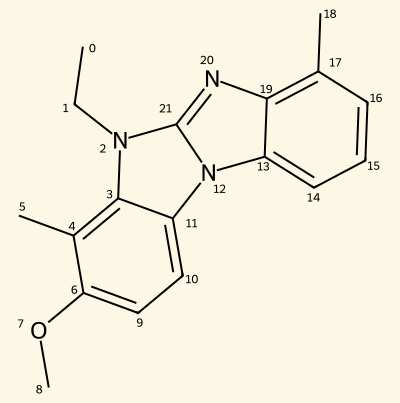 CCn1c2c(C)c(OC)ccc2n2c3cccc(C)c3nc12